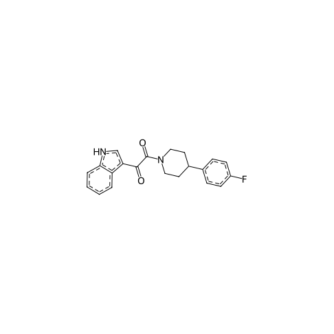 O=C(C(=O)N1CCC(c2ccc(F)cc2)CC1)c1c[nH]c2ccccc12